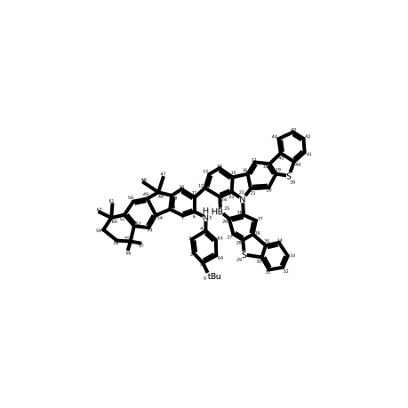 CC(C)(C)c1ccc(Nc2cc3c(cc2-c2ccc4c5cc6c(cc5n5c4c2Bc2cc4sc7ccccc7c4cc2-5)sc2ccccc26)C(C)(C)c2cc4c(cc2-3)C(C)(C)CCC4(C)C)cc1